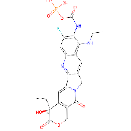 CCNc1c(NC(=O)OP(=O)(O)O)c(F)cc2nc3c(cc12)Cn1c-3cc2c(c1=O)COC(=O)[C@]2(O)CC